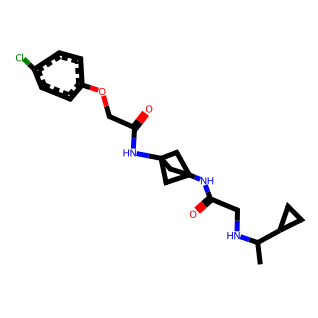 CC(NCC(=O)NC12CC(NC(=O)COc3ccc(Cl)cc3)(C1)C2)C1CC1